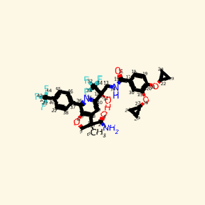 C[C@]1(C(N)=O)COc2c1cc([C@@](O)(CNC(=O)c1ccc(OC3CC3)c(OC3CC3)c1)C(F)(F)F)nc2-c1ccc(C(F)(F)F)cc1